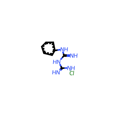 N=C(NCl)NC(=N)Nc1ccccc1